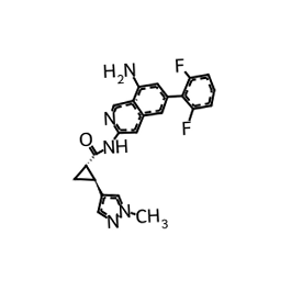 Cn1cc([C@H]2C[C@@H]2C(=O)Nc2cc3cc(-c4c(F)cccc4F)cc(N)c3cn2)cn1